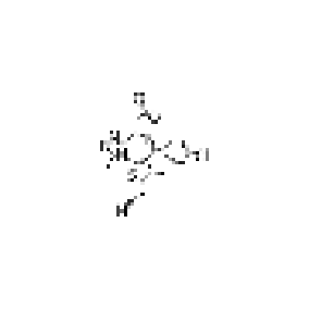 COC(=O)C[C@@H]1N=C(c2ccc(Cl)cc2)c2c(sc(CC#N)c2C)-n2c(C)nnc21